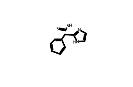 S=CS.c1ccc(Cc2ncc[nH]2)cc1